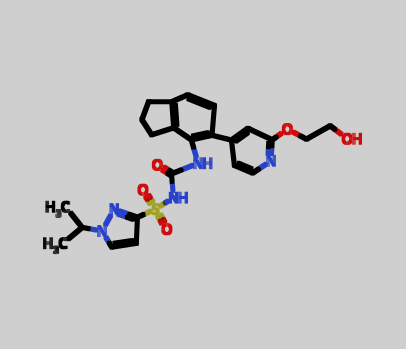 CC(C)n1ccc(S(=O)(=O)NC(=O)Nc2c(-c3ccnc(OCCO)c3)ccc3c2CCC3)n1